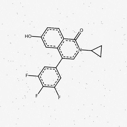 O=c1c2ccc(O)cc2c(-c2cc(F)c(F)c(F)c2)cn1C1CC1